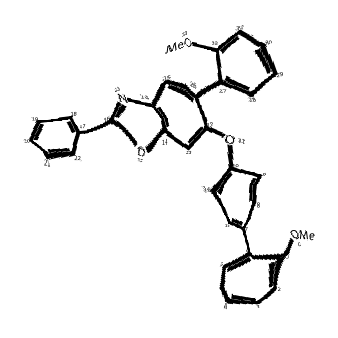 COc1ccccc1-c1ccc(Oc2cc3oc(-c4ccccc4)nc3cc2-c2ccccc2OC)cc1